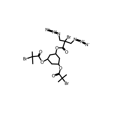 CC(C)(Br)C(=O)OC1CC(OC(=O)C(C)(C)Br)CC(OC(=O)C(Br)(CN=[N+]=[N-])CN=[N+]=[N-])C1